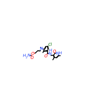 Cc1cc(C)c(CNC(=O)c2cc(Cl)cc(N(C)CCCOC(N)=O)c2C)c(=O)[nH]1